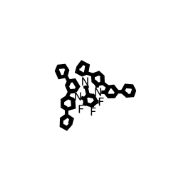 N#Cc1c(-n2c3ccc(-c4ccccc4)cc3c3ccc(-c4ccccc4)cc32)c(F)c(F)c(F)c1-n1c2ccc(-c3ccccc3)cc2c2ccc(-c3ccccc3)cc21